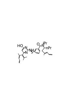 C=C/C=C(/C)C(=C(C)C)c1cc(O)nc(NSc2cccc(C(=O)N(C(C)C)C(CCC)C/C(C)=C/C=C)c2)n1